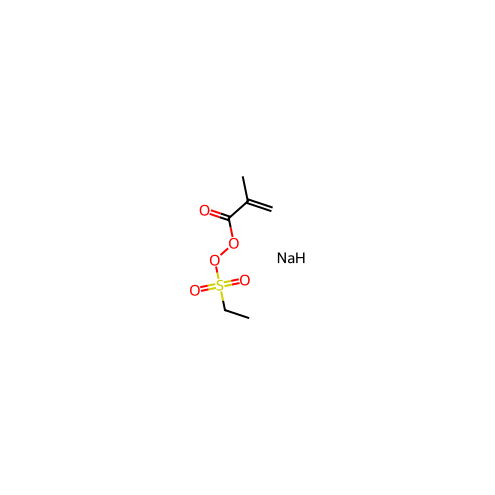 C=C(C)C(=O)OOS(=O)(=O)CC.[NaH]